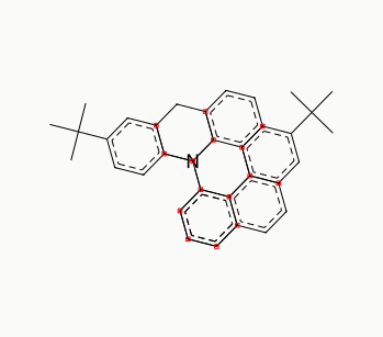 CC(C)(C)c1ccc(-c2ccccc2N(c2ccc(C(C)(C)C)cc2)c2ccccc2-c2cccc3cccc(C4CCCCC4)c23)cc1